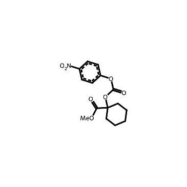 COC(=O)C1(OC(=O)Oc2ccc([N+](=O)[O-])cc2)CCCCC1